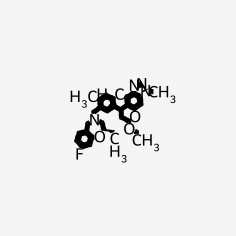 CCOC(=O)CC(c1ccc(C)c(CN2Cc3ccc(F)cc3O[C@H](CC)C2)c1)c1ccc2c(nnn2C)c1C